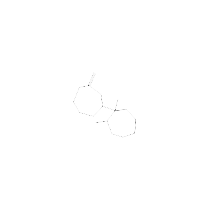 C=C1CCCCC(C2(C)CCCCCC2C)C1